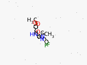 CCS(=O)(=O)c1ccc(CC(=O)Nc2ccc3nc(CC4CCC(F)(F)CC4)n(C(C)C)c3c2)cc1